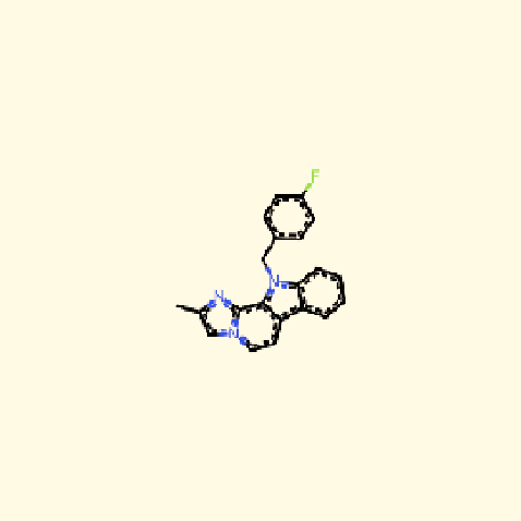 Cc1cn2ccc3c4ccccc4n(Cc4ccc(F)cc4)c3c2n1